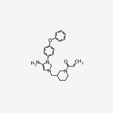 C=CC(=O)N1CCCC(CN2C=C(N)N(c3ccc(Oc4ccccc4)cc3)C2)C1